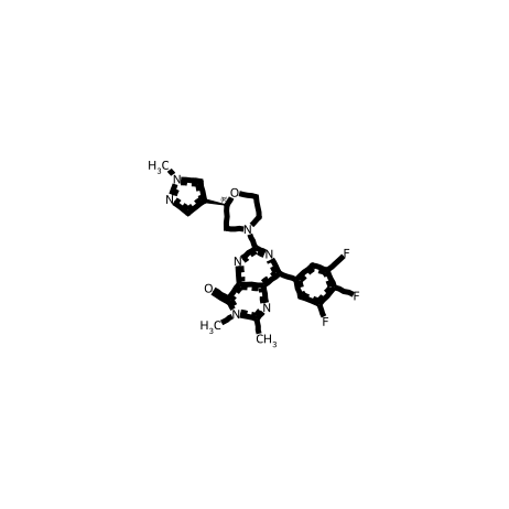 Cc1nc2c(-c3cc(F)c(F)c(F)c3)nc(N3CCO[C@H](c4cnn(C)c4)C3)nc2c(=O)n1C